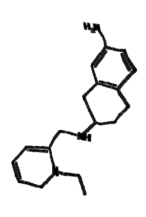 CCN1CC=CC=C1CNC1CCc2ccc(N)cc2C1